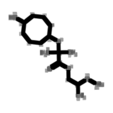 CC(COC(=O)C(C)(C)OC1CCCC(O)CCC1)OC(C)(C)C